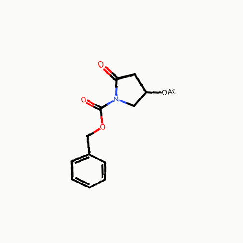 CC(=O)OC1CC(=O)N(C(=O)OCc2ccccc2)C1